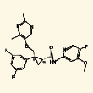 COc1cc(NC(=O)[C@@H]2C[C@@]2(COc2cnc(C)nc2C)c2cc(F)cc(F)c2)ncc1F